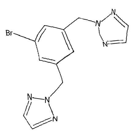 Brc1cc(Cn2nccn2)cc(Cn2nccn2)c1